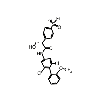 CCS(=O)(=O)c1ccc([C@@H](CO)C(=O)Nc2cc(Cl)c(-c3ccccc3OC(F)(F)F)c(Cl)c2)cc1